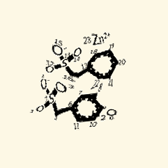 O.O=S(=O)([O-])Cc1ccccc1.O=S(=O)([O-])Cc1ccccc1.[Zn+2]